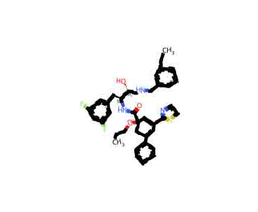 CCCOC1(C(=O)N[C@@H](Cc2cc(F)cc(F)c2)[C@H](O)CNCc2cccc(CC)c2)C=C(c2nccs2)C=C(c2ccccc2)C1